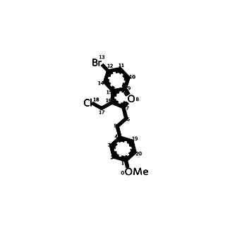 COc1ccc(CCc2oc3ccc(Br)cc3c2CCl)cc1